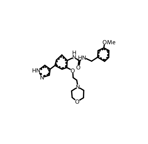 COc1cccc(CNC(=O)Nc2ccc(-c3cn[nH]c3)cc2OCCN2CCOCC2)c1